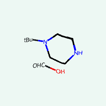 CC(C)(C)N1CCNCC1.O=CO